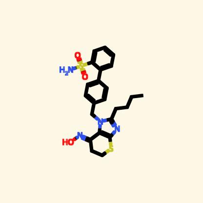 CCCCc1nc2c(n1Cc1ccc(-c3ccccc3S(N)(=O)=O)cc1)C(=NO)CCS2